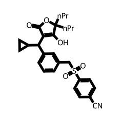 CCCC1(CCC)OC(=O)C(C(c2cccc(CS(=O)(=O)c3ccc(C#N)cc3)c2)C2CC2)=C1O